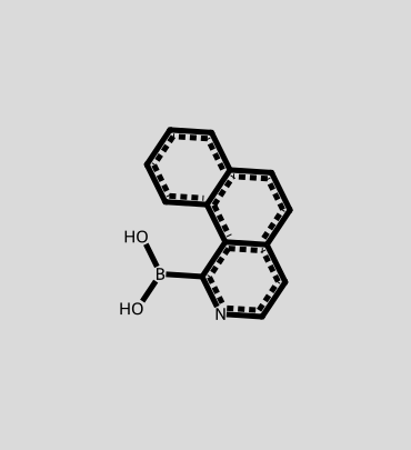 OB(O)c1nccc2ccc3ccccc3c12